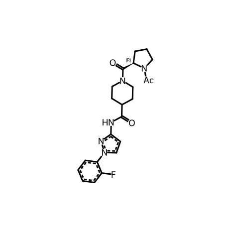 CC(=O)N1CCC[C@@H]1C(=O)N1CCC(C(=O)Nc2ccn(-c3ccccc3F)n2)CC1